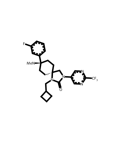 CN[C@]1(c2cccc(F)c2)CC[C@]2(CC1)CN(c1cnc(C(F)(F)F)nc1)C(=O)N2CC1CCC1